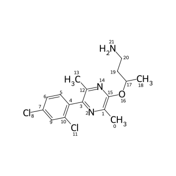 Cc1nc(-c2ccc(Cl)cc2Cl)c(C)nc1OC(C)CCN